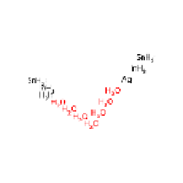 O.O.O.O.O.O.O.[Ag].[InH3].[InH3].[InH3].[SnH2].[SnH2]